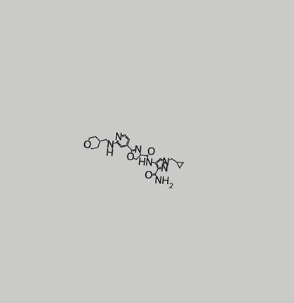 NC(=O)c1nn(CC2CC2)cc1NC(=O)C1COC(c2ccnc(NCC3CCOCC3)c2)=N1